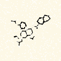 C=CC[N@@+]1(CC(C)C)CC[C@]2(c3cccc(OC(C)=O)c3)C[C@@H](NC(=O)c3ccc4ccccc4c3)CCC2(OC(C)=O)C1